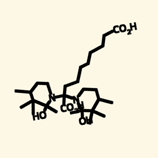 CC1CCN(C(CCCCCCCC(=O)O)(C(=O)O)N2CCC(C)C(C)(C)C2(C)O)C(C)(O)C1(C)C